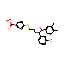 COC(=O)c1ccc(SCCCC(c2cccc(Cl)c2)C(O)c2ccc(C)c(C)c2)cc1